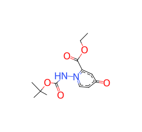 CCOC(=O)c1cc(=O)ccn1NC(=O)OC(C)(C)C